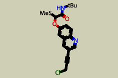 CSC(Oc1ccc2ncc(C#CCCl)cc2c1)C(=O)NC(C)(C)C